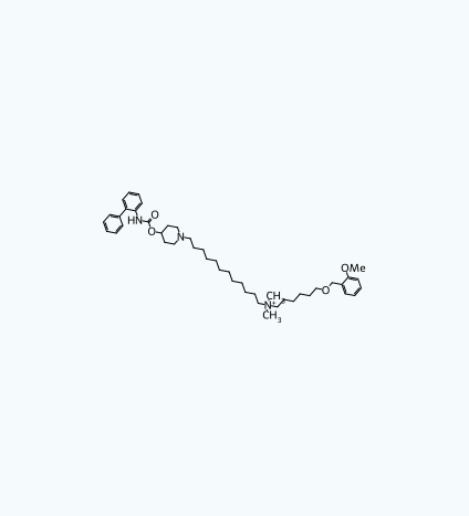 COc1ccccc1COCCCCCC[N+](C)(C)CCCCCCCCCCCCN1CCC(OC(=O)Nc2ccccc2-c2ccccc2)CC1